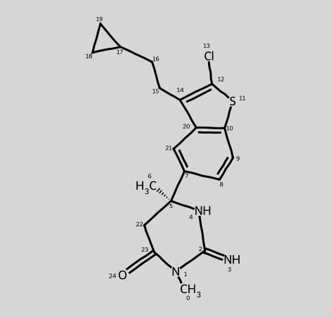 CN1C(=N)N[C@](C)(c2ccc3sc(Cl)c(CCC4CC4)c3c2)CC1=O